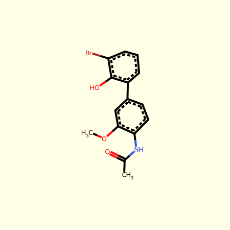 COc1cc(-c2cccc(Br)c2O)ccc1NC(C)=O